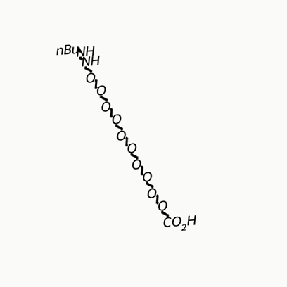 CCCCNCNCCOCCOCCOCCOCCOCCOCCOCCOCCOCCOCCC(=O)O